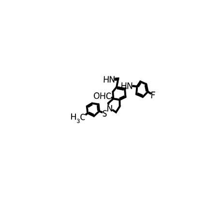 Cc1cccc(SN2CCC3=CC(Nc4ccc(F)cc4)=C(C=N)CC3(C=O)C2)c1